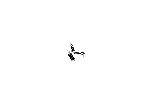 C#N.O=NO